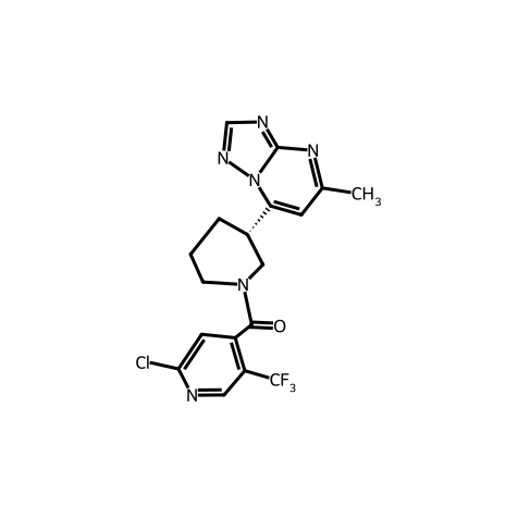 Cc1cc([C@H]2CCCN(C(=O)c3cc(Cl)ncc3C(F)(F)F)C2)n2ncnc2n1